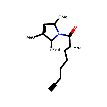 C#CCCCC[C@@H](C)C(=O)N1C(OC)C=C(OC)[C@@H]1CCCCC